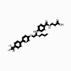 CCCC[C@@H](COc1ccc(-c2ccc(C(F)(F)F)cc2)nc1)Nc1ccc(C(=O)NCCC(=O)O)cc1